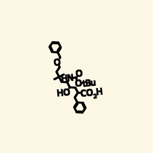 CC(C)(CCOCc1ccccc1)CC(NC(=O)OC(C)(C)C)C(O)CC(Cc1ccccc1)C(=O)O